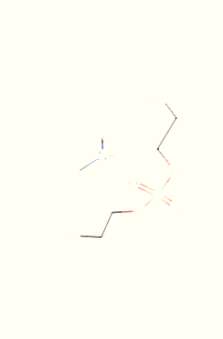 CCCCCCCCCCCCOS(=O)(=O)OCCCCCCCCCCCC.CCNCC